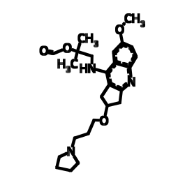 COc1ccc2nc3c(c(NCC(C)(C)OC=O)c2c1)CC(OCCCN1CCCC1)C3